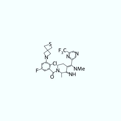 CN/C(=C1/CCN(C(=O)c2cc(F)cc(N3CC4(CSC4)C3)c2Cl)C(C)C1=N)c1cncc(C(F)(F)F)n1